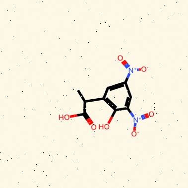 CC(C(=O)O)c1cc([N+](=O)[O-])cc([N+](=O)[O-])c1O